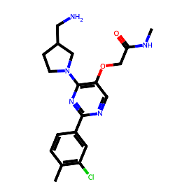 CNC(=O)COc1cnc(-c2ccc(C)c(Cl)c2)nc1N1CCC(CN)C1